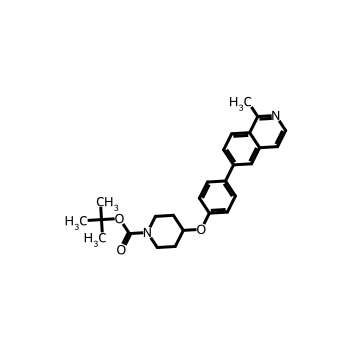 Cc1nccc2cc(-c3ccc(OC4CCN(C(=O)OC(C)(C)C)CC4)cc3)ccc12